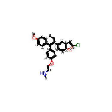 CC/C(=C(\c1ccc(OC)cc1)c1ccc(OCCNC)cc1)c1ccc2oc(Cl)cc2c1